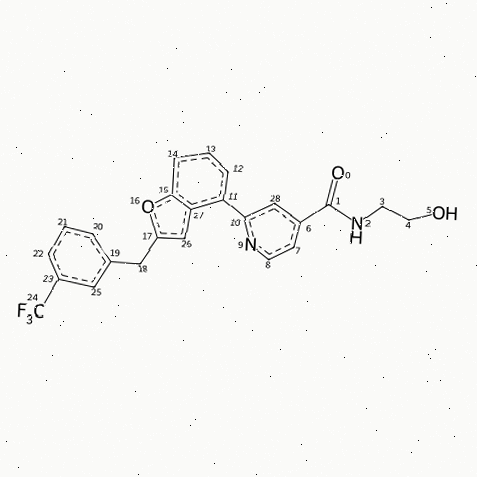 O=C(NCCO)c1ccnc(-c2cccc3oc(Cc4cccc(C(F)(F)F)c4)cc23)c1